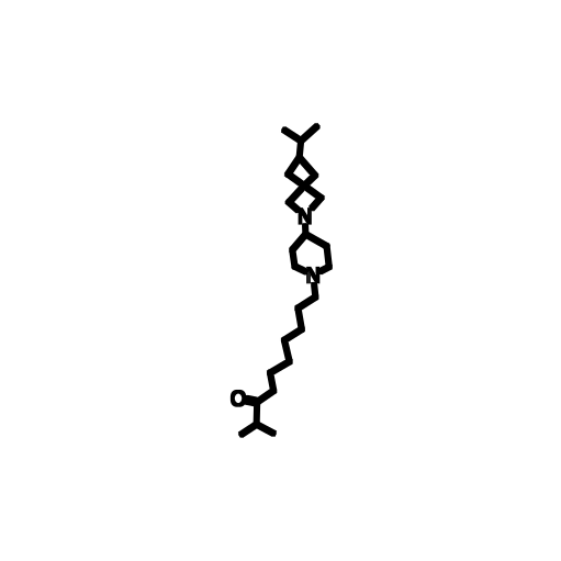 CC(C)C(=O)CCCCCCCN1CCC(N2CC3(CC(C(C)C)C3)C2)CC1